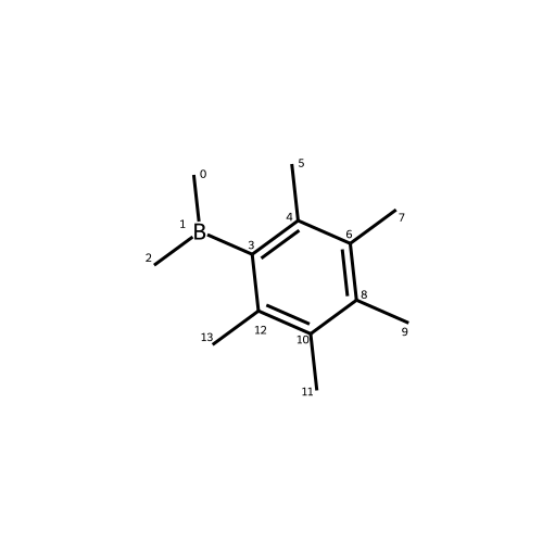 CB(C)c1c(C)c(C)c(C)c(C)c1C